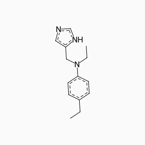 CCc1ccc(N(CC)Cc2cnc[nH]2)cc1